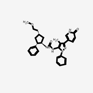 COCC[C@@H]1C[C@@H](NC(=O)Nc2c(C)c(-c3ccc(=O)[nH]c3)nn2-c2ccccc2)[C@H](c2ccccc2)C1